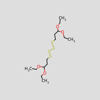 CCOC(CCSSSSCCC(OCC)OCC)OCC